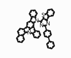 c1ccc(-c2ccc(-c3nc(-n4c5ccccc5c5cc6c7ccc8ccccc8c7n7c8ccccc8c(c54)c67)c4sc5ccccc5c4n3)cc2)cc1